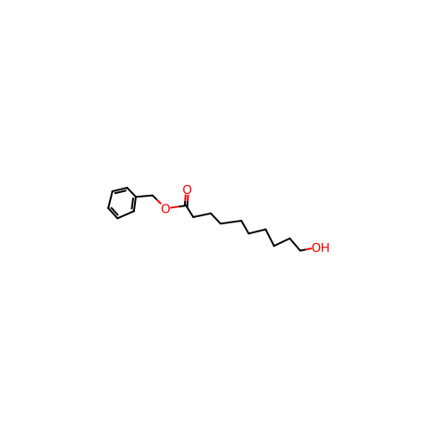 O=C(CCCCCCCCCO)OCc1ccccc1